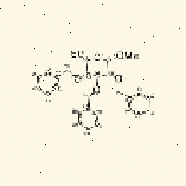 CCC1OC(OC)C(OCc2ccccc2)C(OCc2ccccc2)C1OCc1ccccc1